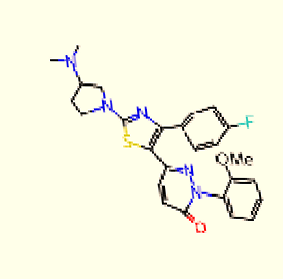 COc1ccccc1-n1nc(-c2sc(N3CCC(N(C)C)C3)nc2-c2ccc(F)cc2)ccc1=O